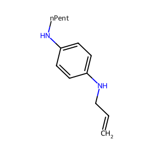 C=CCNc1ccc(NCCCCC)cc1